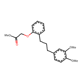 COC(=O)COc1ccccc1[CH]CCc1ccc(OC)c(OC)c1